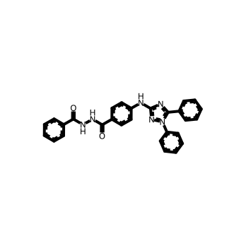 O=C(NNC(=O)c1ccc(Nc2nc(-c3ccccc3)n(-c3ccccc3)n2)cc1)c1ccccc1